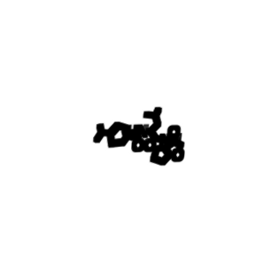 CC(C)CC(NC(=O)c1ccc(C(C)C)cc1)C(=O)NC12CCCC1OCC2=O